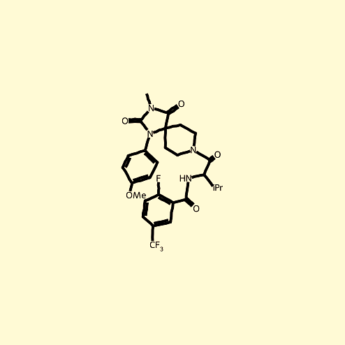 COc1ccc(N2C(=O)N(C)C(=O)C23CCN(C(=O)C(NC(=O)c2cc(C(F)(F)F)ccc2F)C(C)C)CC3)cc1